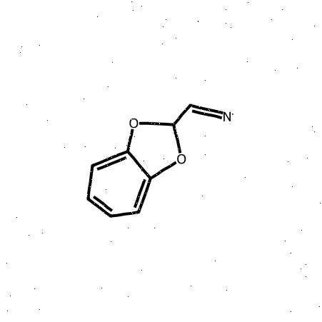 [N]=CC1Oc2ccccc2O1